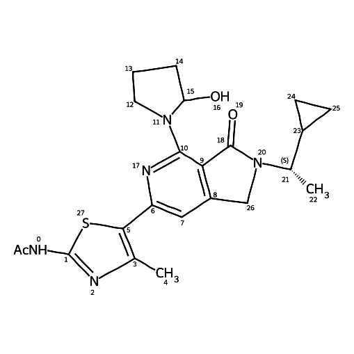 CC(=O)Nc1nc(C)c(-c2cc3c(c(N4CCCC4O)n2)C(=O)N([C@@H](C)C2CC2)C3)s1